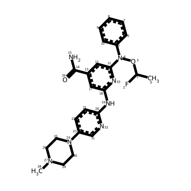 CC(F)ON(c1ccccc1)c1cc(C(N)=O)cc(Nc2ccc(N3CCN(C)CC3)cn2)n1